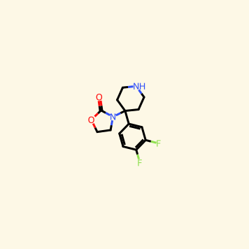 O=C1OCCN1C1(c2ccc(F)c(F)c2)CCNCC1